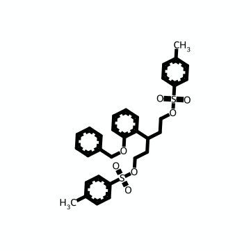 Cc1ccc(S(=O)(=O)OCCC(CCOS(=O)(=O)c2ccc(C)cc2)c2ccccc2OCc2ccccc2)cc1